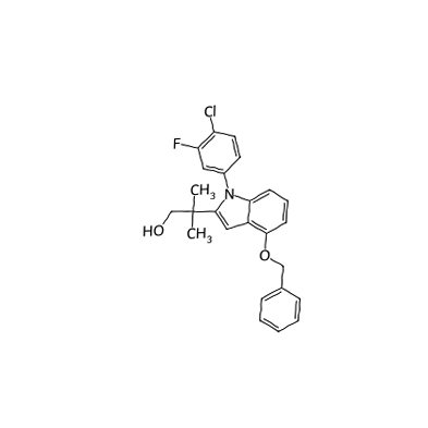 CC(C)(CO)c1cc2c(OCc3ccccc3)cccc2n1-c1ccc(Cl)c(F)c1